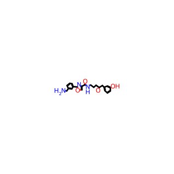 NCc1cccc(-c2nc(C(=O)NCCCC(=O)Cc3cccc(O)c3)co2)c1